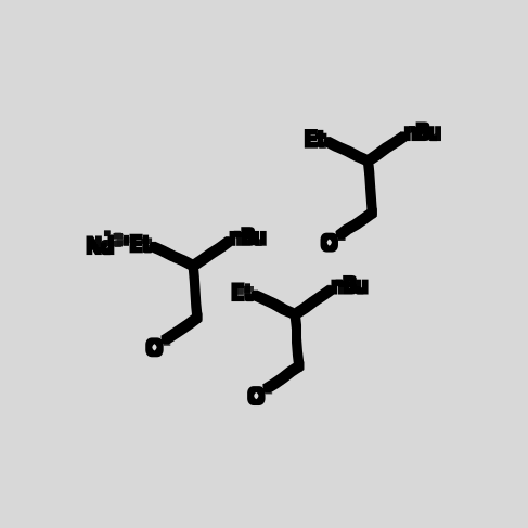 CCCCC(CC)C[O-].CCCCC(CC)C[O-].CCCCC(CC)C[O-].[Nd+3]